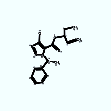 C=CC(CC)OC(=O)c1c(Cl)nnn1[C@H](C)c1ccccc1